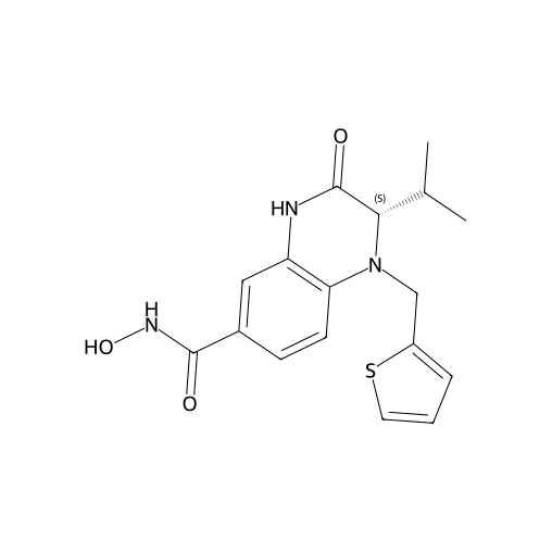 CC(C)[C@H]1C(=O)Nc2cc(C(=O)NO)ccc2N1Cc1cccs1